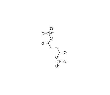 O=C(CCC(=O)O[Cl+2]([O-])[O-])O[Cl+2]([O-])[O-]